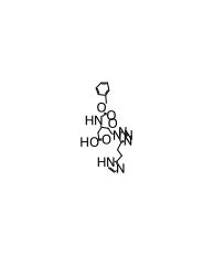 O=C(O)CC(NC(=O)OCc1ccccc1)C(=O)Cn1nnnc1CCc1ncc[nH]1